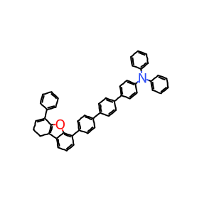 C1=C(c2ccccc2)c2oc3c(-c4ccc(-c5ccc(-c6ccc(N(c7ccccc7)c7ccccc7)cc6)cc5)cc4)cccc3c2CC1